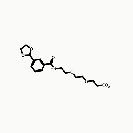 O=C(O)CCOCCOCCNC(=O)c1cccc(C2OCCO2)c1